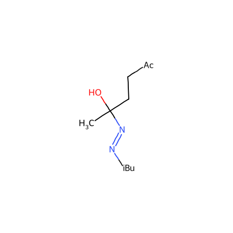 CCC(C)N=NC(C)(O)CCC(C)=O